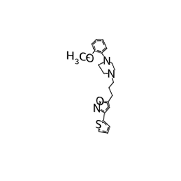 COc1ccccc1N1CCN(CCCc2cc(-c3cccs3)no2)CC1